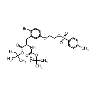 Cc1ccc(S(=O)(=O)OCCOc2ccc(Br)c(CC(NC(=O)OC(C)(C)C)C(=O)OC(C)(C)C)c2)cc1